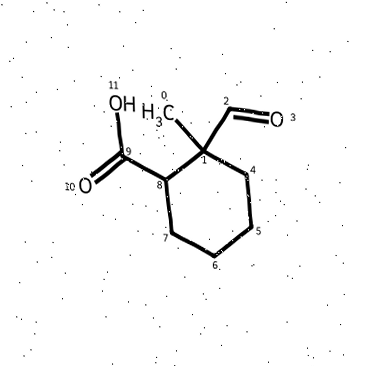 CC1(C=O)CCCCC1C(=O)O